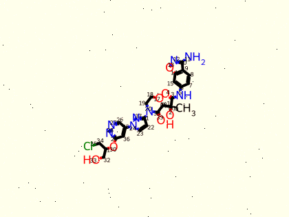 C[C@](O)(C(=O)Nc1ccc2c(N)noc2c1)[C@H]1OCCN(c2ccn(-c3cnnc(OC(CO)CCl)c3)n2)C1=O